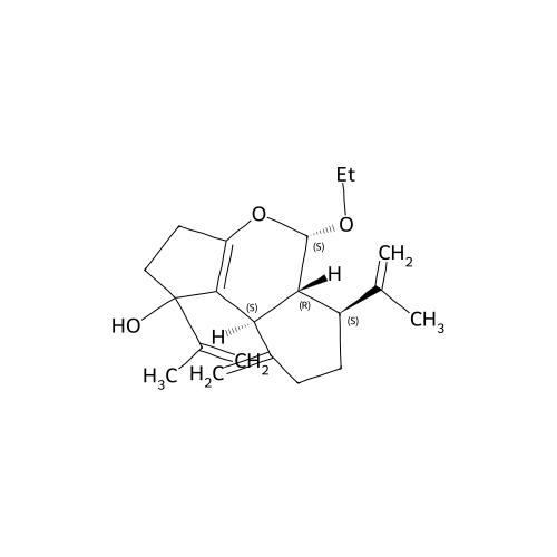 C=C1CC[C@H](C(=C)C)[C@H]2[C@@H](OCC)OC3=C([C@H]12)C(O)(C(=C)C)CC3